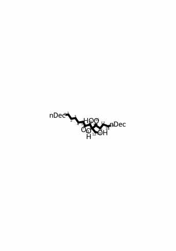 CCCCCCCCCCCCCCCC(=O)C(O)C(O)(CO)C(=O)CCCCCCCCCCCCC